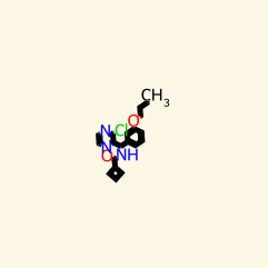 CCCCOc1cccc(C(NC(=O)C2CCC2)c2nccnc2Cl)c1